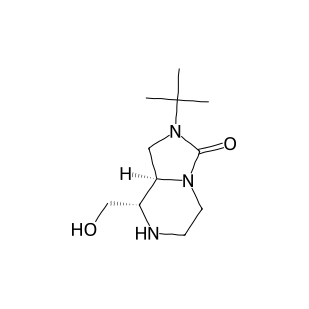 CC(C)(C)N1C[C@@H]2[C@@H](CO)NCCN2C1=O